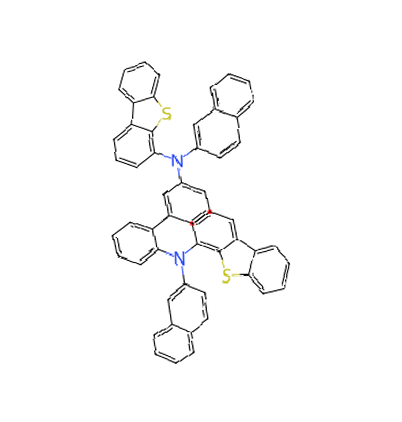 c1cc(-c2ccccc2N(c2ccc3ccccc3c2)c2cccc3c2sc2ccccc23)cc(N(c2ccc3ccccc3c2)c2cccc3c2sc2ccccc23)c1